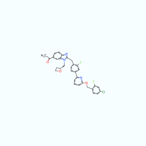 CC(=O)c1ccc2nc(Cc3ccc(-c4cccc(OCc5ccc(Cl)cc5F)n4)cc3F)n(C[C@@H]3CCO3)c2c1